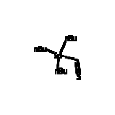 CCC[CH2][Sn]([CH]=S)([CH2]CCC)[CH2]CCC